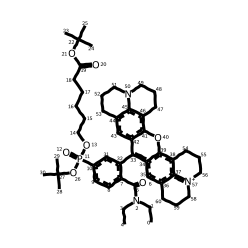 CCN(CC)C(=O)c1ccc(P(=O)(OCCCCCC(=O)OC(C)(C)C)OC(C)(C)C)cc1C1=c2cc3c4c(c2Oc2c1cc1c5c2CCCN5CCC1)CCC[N+]=4CCC3